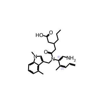 C=C/C=C(C)\C(=C/N)N(Cc1cn(C)c2cccc(C)c12)C(=O)CC(CCC)CC(=O)O